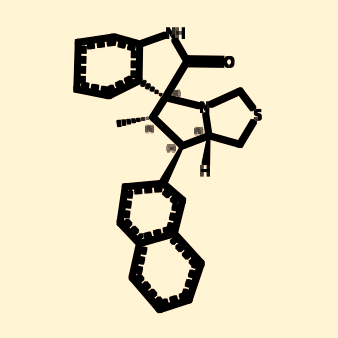 C[C@H]1[C@H](c2ccc3ccccc3c2)[C@H]2CSCN2[C@]12C(=O)Nc1ccccc12